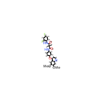 COc1cc2nccc(Oc3ccc(NC(=O)C(C)(C)C(=O)Nc4ccc(F)cc4F)cc3)c2cc1OC